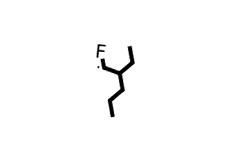 CCCC([CH]F)CC